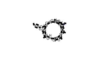 C/C=C/C[C@@H](C)[C@@H](O)[C@H]1C(=O)N[C@@H](CC)C(=O)N(C)[C@H](C)C(=O)N(C)[C@@H]([C@@H](C)COC(=O)N2CCN(CC)CC2)C(=O)N[C@@H](C(C)C)C(=O)N(C)[C@@H](CC(C)C)C(=O)N[C@@H](C)C(=O)N2[C@H](C)C(=O)N2[C@@H](CC(C)C)C(=O)N(C)[C@@H](CC(C)C)C(=O)N(C)[C@@H](C(C)C)C(=O)N1C